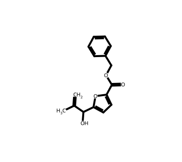 C=C(C)C(O)c1ccc(C(=O)OCc2ccccc2)o1